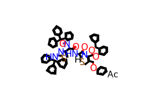 CC(=O)c1ccc(OCC2=C(C(=O)OC(c3ccccc3)c3ccccc3)N3C(=O)C(NC(=O)/C(=N/OC(c4ccccc4)(c4ccccc4)c4ccccc4)c4csc(NC(c5ccccc5)(c5ccccc5)c5ccccc5)n4)[C@H]3SC2)cc1